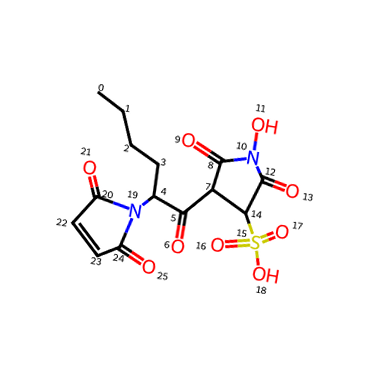 CCCCC(C(=O)C1C(=O)N(O)C(=O)C1S(=O)(=O)O)N1C(=O)C=CC1=O